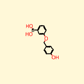 OB(O)c1cccc(OCc2ccc(O)cc2)c1